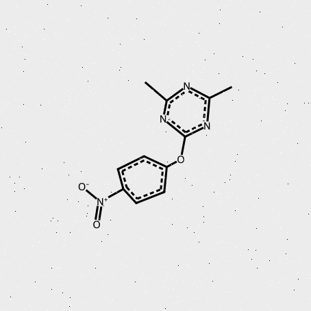 Cc1nc(C)nc(Oc2ccc([N+](=O)[O-])cc2)n1